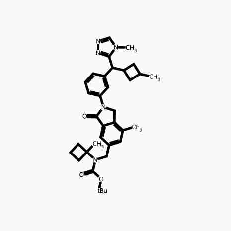 CC1CC(C(c2cccc(N3Cc4c(cc(CN(C(=O)OC(C)(C)C)C5(C)CCC5)cc4C(F)(F)F)C3=O)c2)c2nncn2C)C1